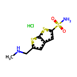 CNCc1cc2cc(S(N)(=O)=O)sc2s1.Cl